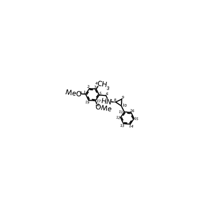 COc1cc(C)c(CN[C@H]2CC2c2ccccc2)c(OC)c1